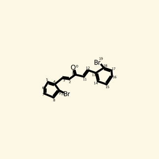 O=C(/C=C/c1ccccc1Br)/C=C/c1ccccc1Br